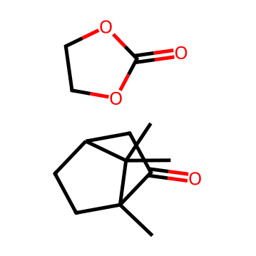 CC12CCC(CC1=O)C2(C)C.O=C1OCCO1